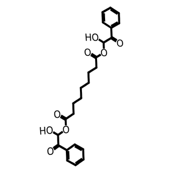 O=C(CCCCCCCC(=O)OC(O)C(=O)c1ccccc1)OC(O)C(=O)c1ccccc1